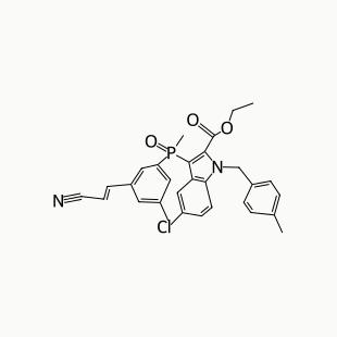 CCOC(=O)c1c(P(C)(=O)c2cc(C)cc(/C=C/C#N)c2)c2cc(Cl)ccc2n1Cc1ccc(C)cc1